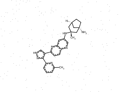 Cc1cccc(-c2n[nH]cc2-c2ccc3ncc(N[C@]4(C)C[C@H]5CC[C@](N)(C5)C4)cc3n2)n1